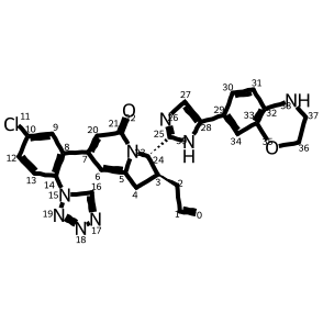 C=CC[C@H]1Cc2cc(-c3cc(Cl)ccc3-n3cnnn3)cc(=O)n2[C@@H]1c1ncc(-c2ccc3c(c2)OCCN3)[nH]1